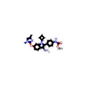 Cc1cn(C)c(Oc2ccc3c(N)c(-c4ccc(NC(=O)OC(C)C)cc4)n(C4CCC4)c3c2)n1